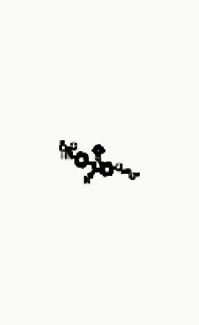 COCCOc1ccc2c(C#N)c(-c3ccc(NC(=O)OC)cc3)n(C3CCC3)c2c1